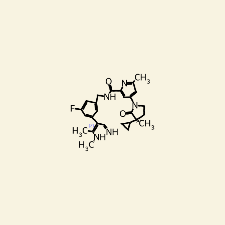 CN/C(C)=C(\C=N)c1cc(F)cc(CNC(=O)c2cc(N3CC[C@@](C)(C4CC4)C3=O)cc(C)n2)c1